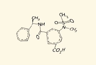 C[C@@H](NC(=O)c1cc(C(=O)O)cc(N(C)S(C)(=O)=O)c1)c1ccccc1